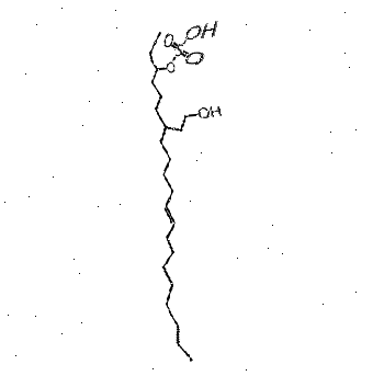 CCCCCCCCC=CCCCCC(CCO)CCCC(CC)OS(=O)(=O)O